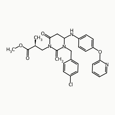 C=C1N(C[C@H](C)C(=O)OC)C(=O)CC(Nc2ccc(Oc3ccccn3)cc2)N1Cc1ccc(Cl)cc1